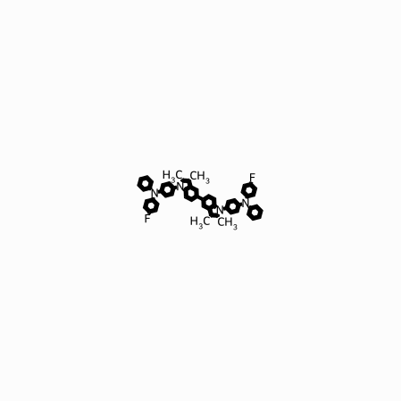 Cc1c(C)n(-c2ccc(N(c3ccccc3)c3ccc(F)cc3)cc2)c2ccc(-c3ccc4c(c3)c(C)c(C)n4-c3ccc(N(c4ccccc4)c4ccc(F)cc4)cc3)cc12